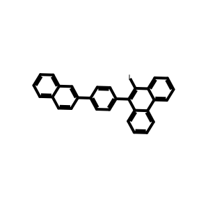 Ic1c(-c2ccc(-c3ccc4ccccc4c3)cc2)c2ccccc2c2ccccc12